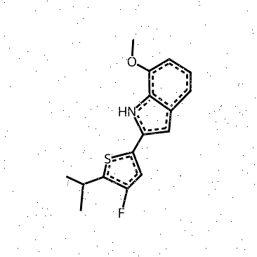 COc1cccc2cc(-c3cc(F)c(C(C)C)s3)[nH]c12